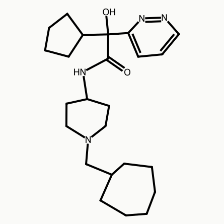 O=C(NC1CCN(CC2CCCCCC2)CC1)C(O)(c1cccnn1)C1CCCC1